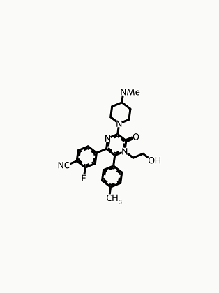 CNC1CCN(c2nc(-c3ccc(C#N)c(F)c3)c(-c3ccc(C)cc3)n(CCO)c2=O)CC1